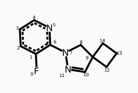 Fc1cccnc1N1CC2(C=N1)CCC2